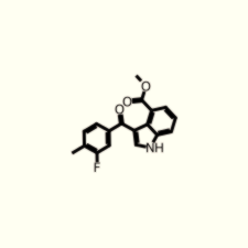 COC(=O)c1cccc2[nH]cc(C(=O)c3ccc(C)c(F)c3)c12